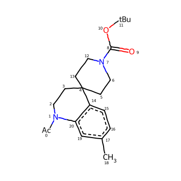 CC(=O)N1CCC2(CCN(C(=O)OC(C)(C)C)CC2)c2ccc(C)cc21